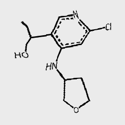 CC(O)c1cnc(Cl)cc1NC1CCOC1